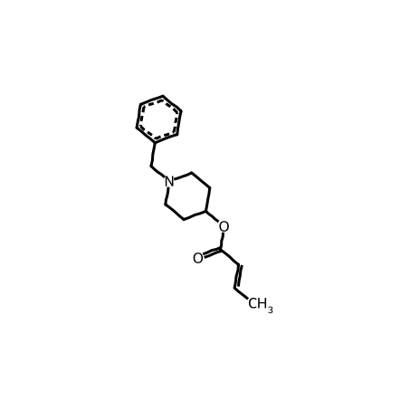 CC=CC(=O)OC1CCN(Cc2ccccc2)CC1